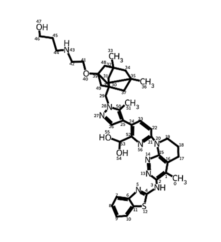 Cc1c(Nc2nc3ccccc3s2)nnc2c1CCCN2c1ccc(-c2cnn(CC34CC5(C)CC(C)(C3)CC(OCCNCCCO)(C5)C4)c2C)c(C(O)O)n1